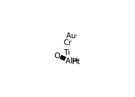 [Au].[Cr].[O]=[AlH].[Pt].[Ti]